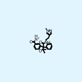 Cn1cc(CCNC(=O)C2(c3ccccc3)c3cc(C(N)=O)ccc3OC2(C)C)cn1